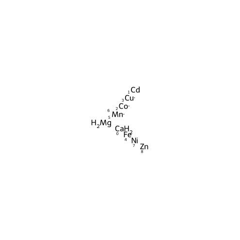 [CaH2].[Cd].[Co].[Cu].[Fe].[MgH2].[Mn].[Ni].[Zn]